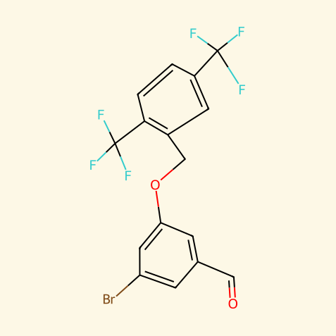 O=Cc1cc(Br)cc(OCc2cc(C(F)(F)F)ccc2C(F)(F)F)c1